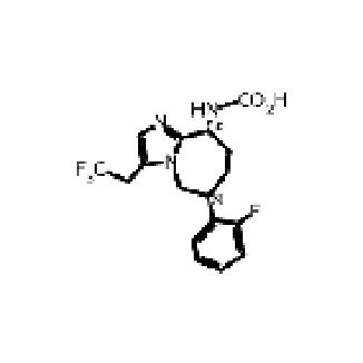 O=C(O)N[C@@H]1CC[C@@H](c2ccccc2F)Cn2c(CC(F)(F)F)cnc21